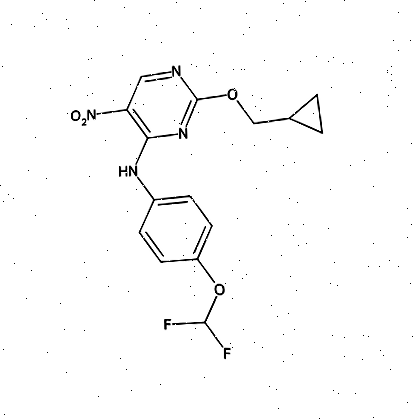 O=[N+]([O-])c1cnc(OCC2CC2)nc1Nc1ccc(OC(F)F)cc1